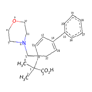 CC(C)(C(=O)O)C1(CN2CCOCC2)C=CC(c2ccccc2)=CC1